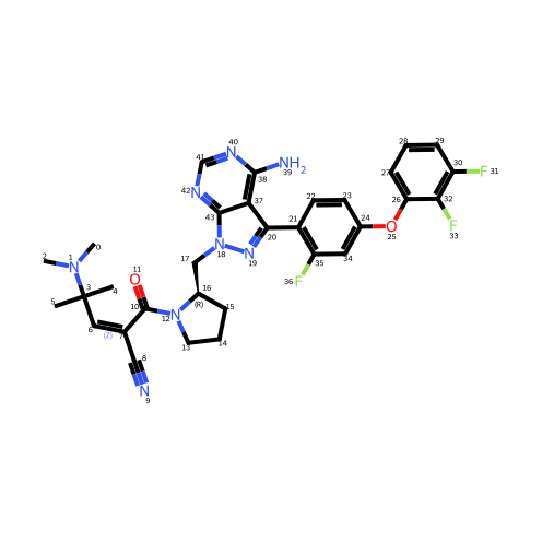 CN(C)C(C)(C)/C=C(/C#N)C(=O)N1CCC[C@@H]1Cn1nc(-c2ccc(Oc3cccc(F)c3F)cc2F)c2c(N)ncnc21